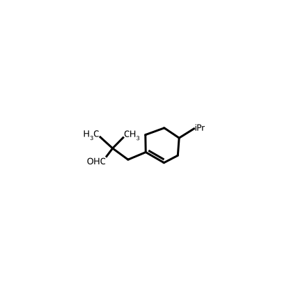 CC(C)C1CC=C(CC(C)(C)C=O)CC1